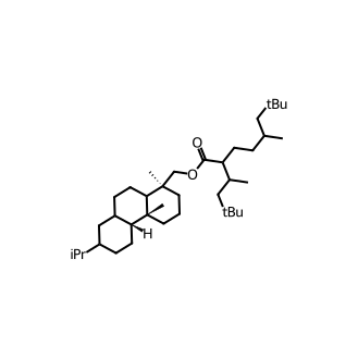 CC(CCC(C(=O)OC[C@@]1(C)CCC[C@@]2(C)C1CCC1CC(C(C)C)CC[C@H]12)C(C)CC(C)(C)C)CC(C)(C)C